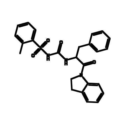 Cc1ccccc1S(=O)(=O)NC(=O)NC(Cc1ccccc1)C(=O)N1CCc2ccccc21